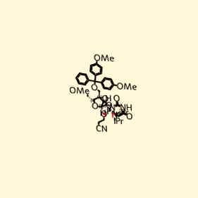 COC[C@H]1O[C@H]2[C@H](n3ccc(=O)[nH]c3=O)O[C@]1(COC(c1ccccc1)(c1ccc(OC)cc1)c1ccc(OC)cc1)[C@H]2OP(OCCC#N)N(C(C)C)C(C)C